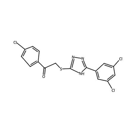 O=C(CSc1nnc(-c2cc(Cl)cc(Cl)c2)[nH]1)c1ccc(Cl)cc1